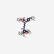 CC(C)Cc1ccc(CN(C=C2C(=O)OC(C)(C)OC2=O)CCCCCCNc2cc(C(C)(C)C)c(O)c(C(C)(C)C)c2)cc1